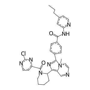 CCCc1ccnc(NC(=O)c2ccc(C3=NC(C4CCCCN4C(=O)c4ccnc(Cl)n4)=C4C=NC=C[N+]34C)cc2)c1